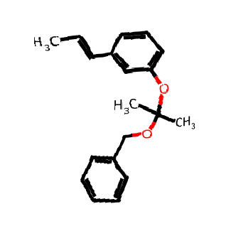 CC=Cc1cccc(OC(C)(C)OCc2ccccc2)c1